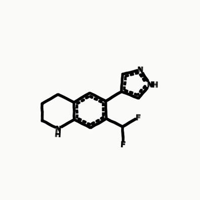 FC(F)c1cc2c(cc1-c1cn[nH]c1)CCCN2